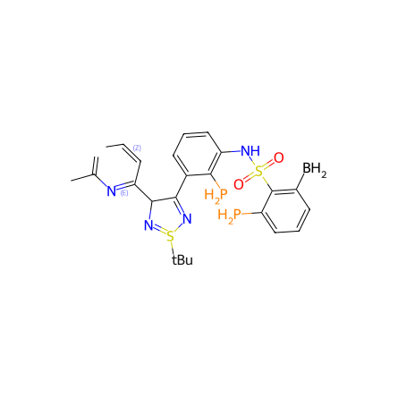 Bc1cccc(P)c1S(=O)(=O)Nc1cccc(C2=NS(C(C)(C)C)=NC2C(/C=C\C)=N/C(=C)C)c1P